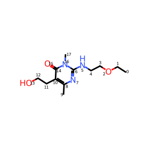 CCOCCNc1nc(C)c(CCO)c(=O)n1C